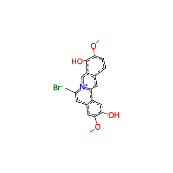 COc1cc2cc(C)[n+]3cc4c(O)c(OC)ccc4cc3c2cc1O.[Br-]